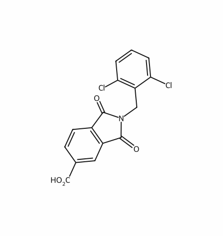 O=C(O)c1ccc2c(c1)C(=O)N(Cc1c(Cl)cccc1Cl)C2=O